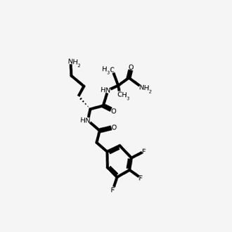 CC(C)(NC(=O)[C@@H](CCCN)NC(=O)Cc1cc(F)c(F)c(F)c1)C(N)=O